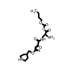 CCCCOC(=O)OC(=O)C(N)CNC(=O)c1cc(OCC2CCNCC2)no1